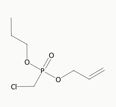 C=CCOP(=O)(CCl)OCCC